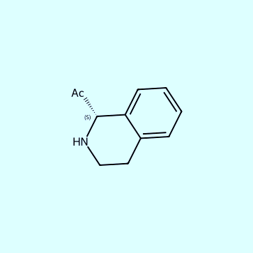 CC(=O)[C@H]1NCCc2ccccc21